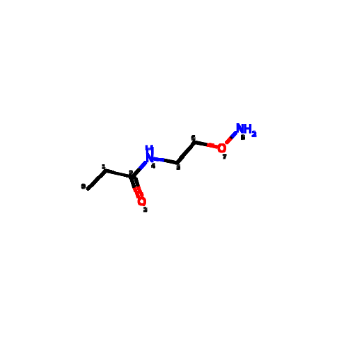 CCC(=O)NCCON